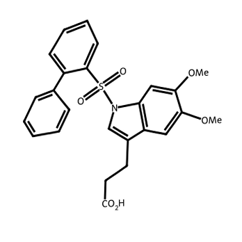 COc1cc2c(CCC(=O)O)cn(S(=O)(=O)c3ccccc3-c3ccccc3)c2cc1OC